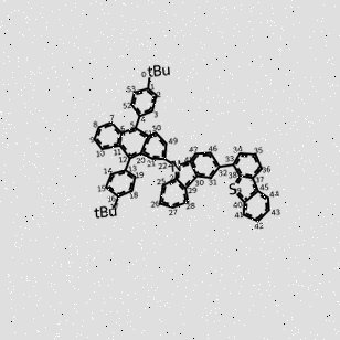 CC(C)(C)c1ccc(-c2c3ccccc3c(-c3ccc(C(C)(C)C)cc3)c3cc(-n4c5ccccc5c5cc(-c6cccc7c6sc6ccccc67)ccc54)ccc23)cc1